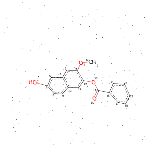 COc1cc2cc(O)ccc2cc1OC(=O)c1ccccc1